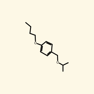 CCCCOc1ccc(COC(C)C)cc1